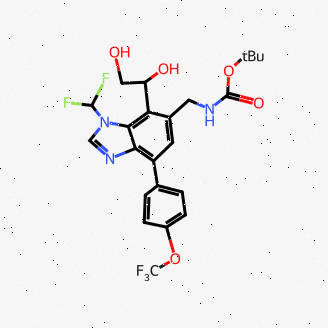 CC(C)(C)OC(=O)NCc1cc(-c2ccc(OC(F)(F)F)cc2)c2ncn(C(F)F)c2c1C(O)CO